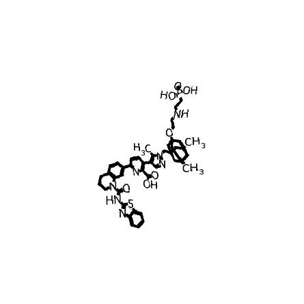 Cc1c(-c2ccc(-c3ccc4c(c3)N(C(=O)Nc3nc5ccccc5s3)CCC4)nc2C(=O)O)cnn1CC12CC3(C)CC(C)(C1)CC(OCCNCCP(=O)(O)O)(C3)C2